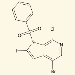 O=S(=O)(c1ccccc1)n1c(I)cc2c(Br)cnc(Cl)c21